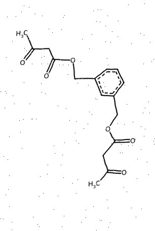 CC(=O)CC(=O)OCc1cccc(COC(=O)CC(C)=O)c1